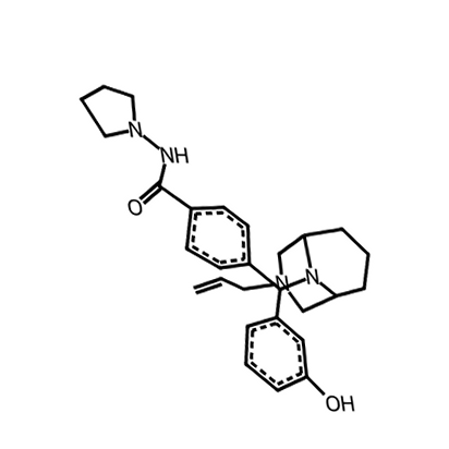 C=CCN1CC2CCCC(C1)N2C(c1ccc(C(=O)NN2CCCC2)cc1)c1cccc(O)c1